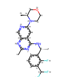 Cc1nc(N[C@H](C)c2cccc(C(F)F)c2F)c2cc(N3CCOC[C@@H]3C)ncc2n1